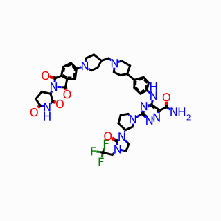 NC(=O)c1nnc(N2CCC[C@@H](N3CCN(CC(F)(F)F)C3=O)C2)nc1Nc1ccc(C2CCN(CC3CCN(c4ccc5c(c4)C(=O)N(C4CCC(=O)NC4=O)C5=O)CC3)CC2)cc1